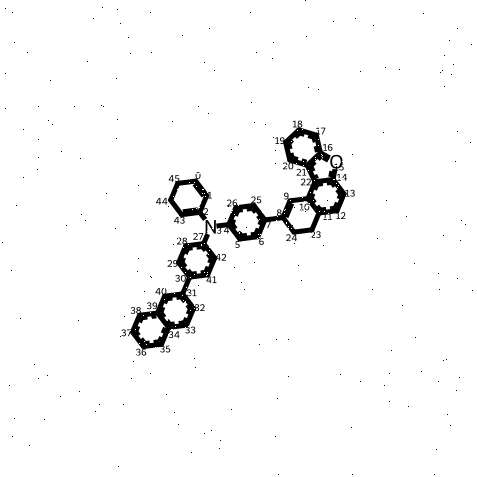 C1=CC(N(c2ccc(C3=Cc4c(ccc5oc6ccccc6c45)CC3)cc2)c2ccc(-c3ccc4ccccc4c3)cc2)=CCC1